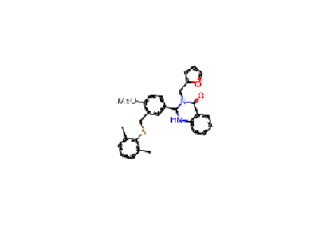 COc1ccc(C2Nc3ccccc3C(=O)N2Cc2ccco2)cc1CSc1c(C)cccc1C